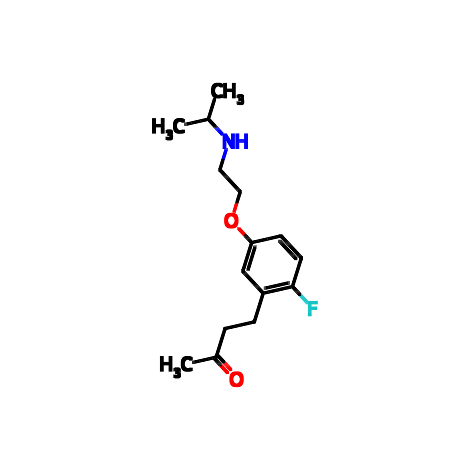 CC(=O)CCc1cc(OCCNC(C)C)ccc1F